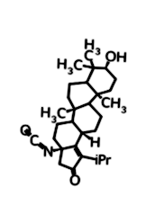 CC(C)C1=C2[C@H]3CCC4[C@@](C)(CCC5C(C)(C)[C@@H](O)CC[C@@]54C)C3CC[C@@]2(N=C=O)CC1=O